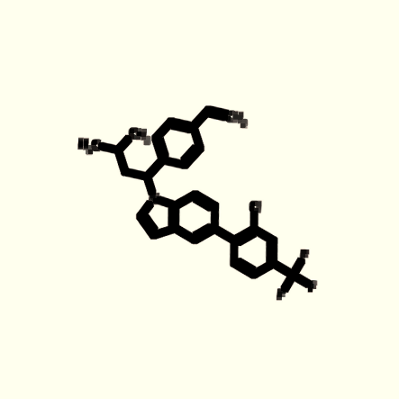 C=Cc1ccc(C(CC(C)C)n2ccc3cc(-c4ccc(C(F)(F)F)cc4Cl)ccc32)cc1